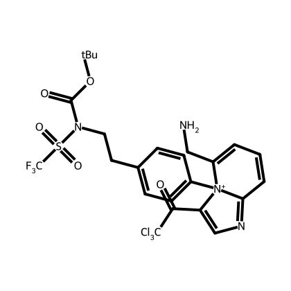 CC(C)(C)OC(=O)N(CCc1ccc([N+]23C(CN)=CC=CC2=NC=C3C(=O)C(Cl)(Cl)Cl)cc1)S(=O)(=O)C(F)(F)F